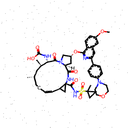 COc1ccc2c(O[C@@H]3C[C@H]4C(=O)NC5(C(=O)NS(=O)(=O)C6(C)CC6)CC5/C=C\CC[C@H](C)C[C@@H](C)[C@H](NC(=O)O)C(=O)N4C3)nc(-c3ccc(N4CCOCC4)cc3)cc2c1